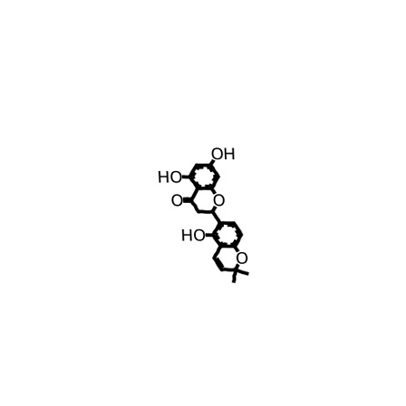 CC1(C)C=Cc2c(ccc(C3CC(=O)c4c(O)cc(O)cc4O3)c2O)O1